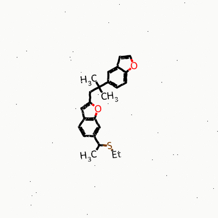 CCSC(C)c1ccc2cc(CC(C)(C)c3ccc4occc4c3)oc2c1